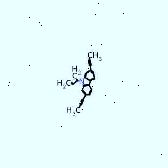 C=CC(C)n1c2cc(C#CC)ccc2c2ccc(C#CC)cc21